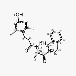 Cc1cc(O)cc(C)c1CCC(=O)N(N)[C@H](C)C(=O)N1CCc2ccccc2C1